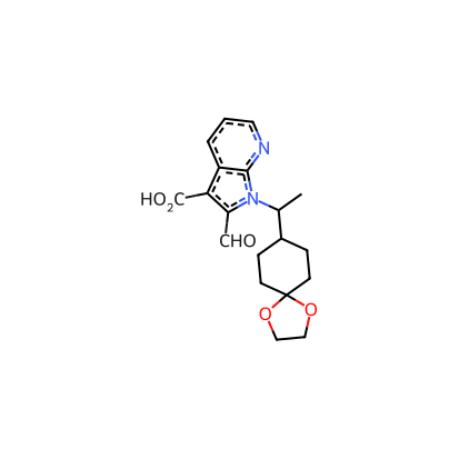 CC(C1CCC2(CC1)OCCO2)n1c(C=O)c(C(=O)O)c2cccnc21